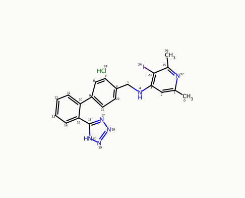 Cc1cc(NCc2ccc(-c3ccccc3-c3nnn[nH]3)cc2)c(I)c(C)n1.Cl